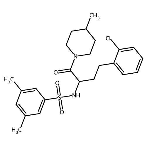 Cc1cc(C)cc(S(=O)(=O)NC(CCc2ccccc2Cl)C(=O)N2CCC(C)CC2)c1